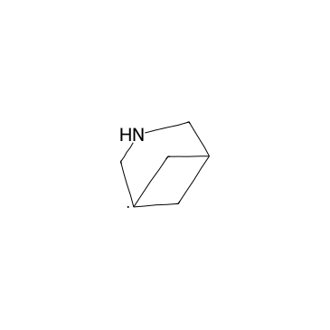 C1NCC2C[C]1C2